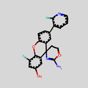 NC1=NC2(CCO1)c1cc(-c3cccnc3F)ccc1Oc1c(F)cc(O)cc12